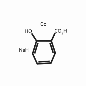 O=C(O)c1ccccc1O.[Co].[NaH]